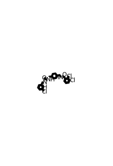 O=C(NCc1cccc(Cl)c1)NCC1CCC(CNC(=O)c2cccc(Cl)c2Cl)CC1